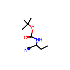 CCC(C#N)NC(=O)OC(C)(C)C